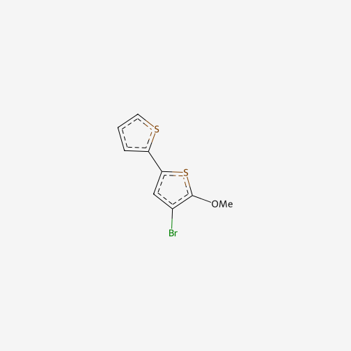 COc1sc(-c2cccs2)cc1Br